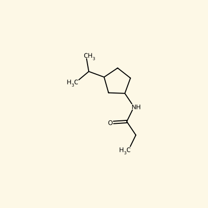 CCC(=O)NC1CCC(C(C)C)C1